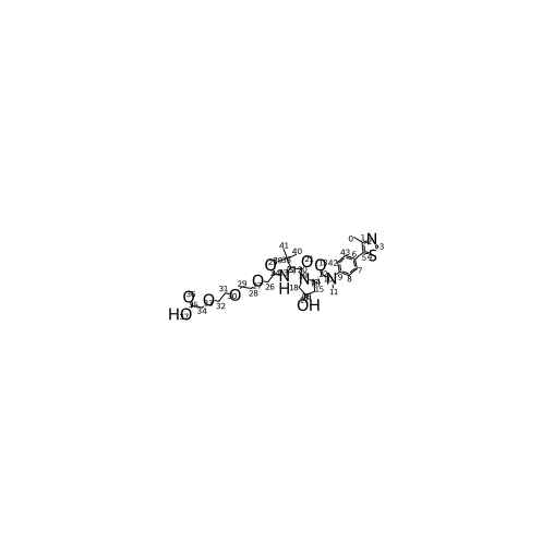 Cc1ncsc1-c1ccc(N(C)C(=O)[C@@H]2C[C@@H](O)CN2C(=O)[C@@H](NC(=O)COCCOCCOCC(=O)O)C(C)(C)C)cc1